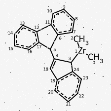 [CH3][Zr]([CH3])[CH]1C(C2c3ccccc3-c3ccccc32)=Cc2ccccc21